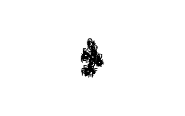 O=C(Cn1nc(C(F)F)c2c1C(F)(F)[C@@H]1C[C@H]21)NC(Cc1cc(F)cc(F)c1)c1nc2ccccc2c(=O)n1-c1ccc(S(=O)(=O)N2CCOCC2)cc1